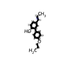 C=CCOc1ccc(-c2cc(/C=C/C)ccc2O)cc1